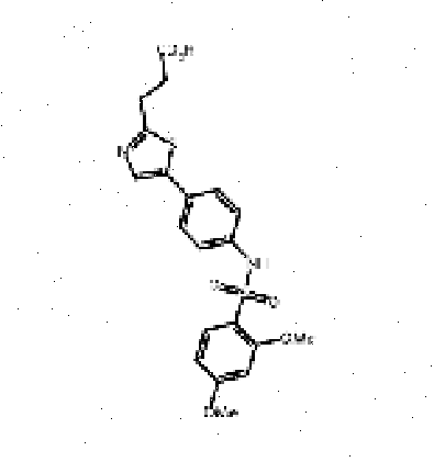 COc1ccc(S(=O)(=O)Nc2ccc(-c3cnc(CCC(=O)O)s3)cc2)c(OC)c1